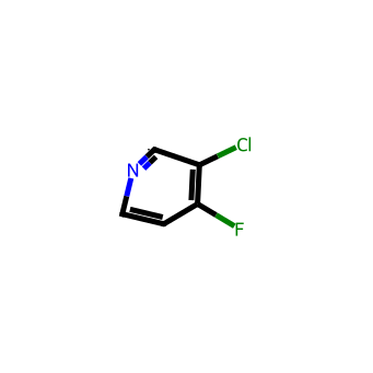 Fc1ccn[c]c1Cl